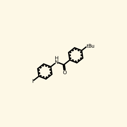 CC(C)(C)c1ccc(C(=O)Nc2ccc(I)cc2)cc1